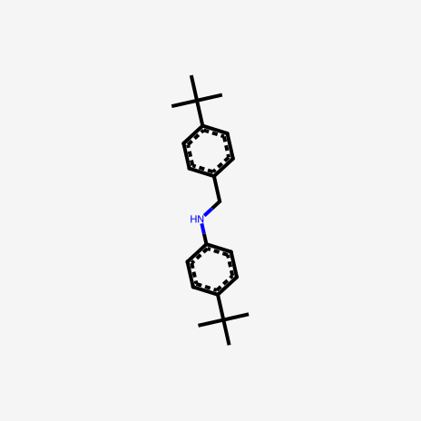 CC(C)(C)c1ccc(CNc2ccc(C(C)(C)C)cc2)cc1